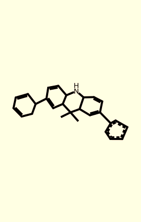 CC1(C)C2C=C(c3ccccc3)C=CC2NC2C=CC(C3C=CC=CC3)=CC21